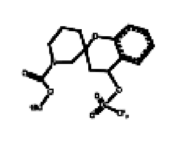 CC(C)(C)OC(=O)N1CCCC2(CC(OS(=O)(=O)C(F)(F)F)c3ccccc3O2)C1